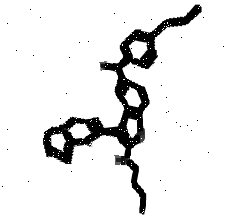 CCCCNc1oc2ccc(C(=S)c3ccc(CCC)cc3)cc2c1C1=CCN2CCCC2C1